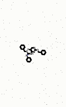 Fc1cnc(OCc2ccccc2)nc1N/C(=N\c1ccccc1)SCc1ccccc1